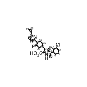 Cc1c(Cl)cccc1S(=O)(=O)N[C@H](Cc1ccc(-c2noc(C3CC3)n2)c(F)c1)C(=O)O